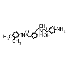 Cc1ccc(CNC(=O)Cc2cccc(C[C@@H](C)NC[C@@H](O)c3ccc(N)nc3)c2)cc1C